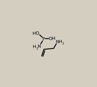 C=CCN.NP(O)O